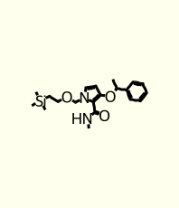 CNC(=O)c1c(OC(C)c2ccccc2)ccn1COCC[Si](C)(C)C